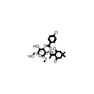 CS[C@@H]1O[C@H](CO)[C@@H](O)[C@H](OC(=O)c2ccc(Cl)cc2)[C@H]1NC(C)=C1C(=O)CC(C)(C)CC1=O